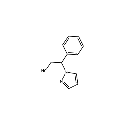 N#CCC(c1ccccc1)n1c[c]cn1